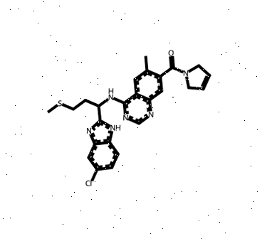 CSCCC(Nc1ncnc2cc(C(=O)N3CC=CC3)c(C)cc12)c1nc2cc(Cl)ccc2[nH]1